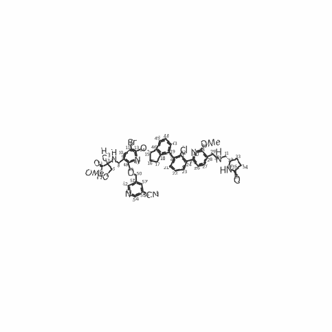 COC(=O)C(C)(CO)NCc1cc(Br)c(O[C@H]2CCc3c(-c4cccc(-c5ccc(CNC[C@@H]6CCC(=O)N6)c(OC)n5)c4Cl)cccc32)nc1OCc1cncc(C#N)c1